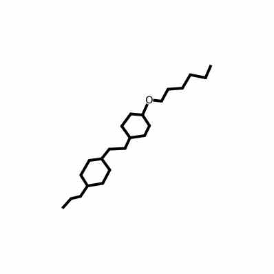 CCCCCCOC1CCC(CCC2CCC(CCC)CC2)CC1